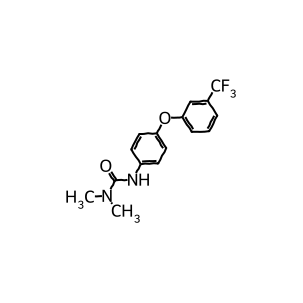 CN(C)C(=O)Nc1ccc(Oc2cccc(C(F)(F)F)c2)cc1